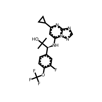 CC(C)(O)[C@@H](Nc1cc(C2CC2)nc2ncnn12)c1ccc(OC(F)(F)F)c(F)c1